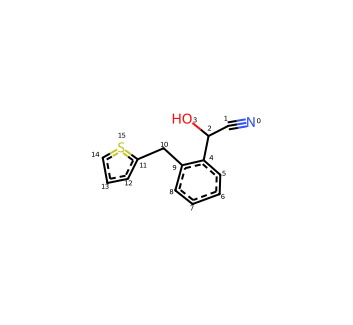 N#CC(O)c1ccccc1Cc1cccs1